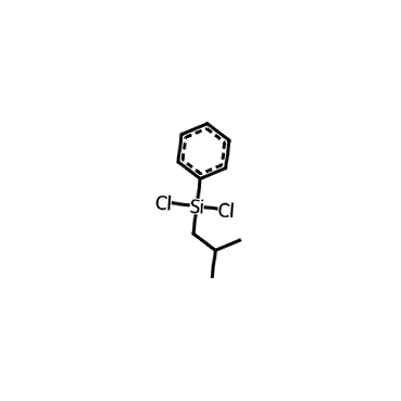 CC(C)C[Si](Cl)(Cl)c1ccccc1